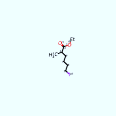 CCOC(=O)C(C)CCCCI